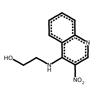 O=[N+]([O-])c1cnc2ccccc2c1NCCO